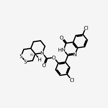 O=C(Oc1ccc(Cl)cc1-c1nc2ccc(Cl)cc2c(=O)[nH]1)N1CCCC2CSSC[C@H]21